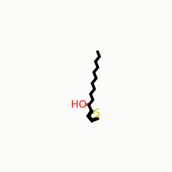 CCCCCCCCCCC(O)c1cccs1